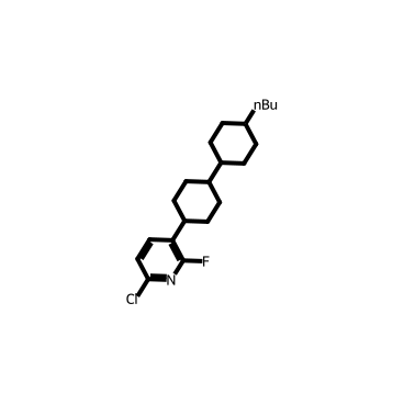 CCCCC1CCC(C2CCC(c3ccc(Cl)nc3F)CC2)CC1